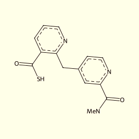 CNC(=O)c1cc(Cc2ncccc2C(=O)S)ccn1